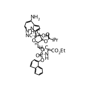 CCOC(=O)[C@H](C)N[P@](=O)(OC[C@H]1O[C@@](C#N)(c2ccc3c(N)ccnn23)[C@](C)(O)[C@@H]1OC(=O)C(C)C)Oc1cccc2ccccc12